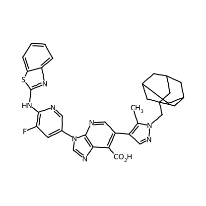 Cc1c(-c2cnc3c(ncn3-c3cnc(Nc4nc5ccccc5s4)c(F)c3)c2C(=O)O)cnn1CC12CC3CC(CC(C3)C1)C2